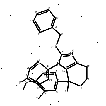 COc1ccc(C2(C)CCCc3nc(SCc4ccccc4)n(-c4ccc(F)cc4)c32)cc1C